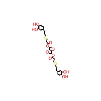 O=C(CCSCCCc1ccc(O)c(O)c1)OC1COC2C(OC(=O)CCSCCCc3ccc(O)c(O)c3)COC12